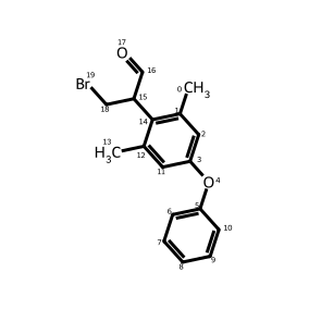 Cc1cc(Oc2ccccc2)cc(C)c1C(C=O)CBr